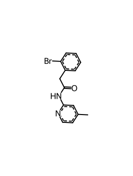 Cc1ccnc(NC(=O)Cc2ccccc2Br)c1